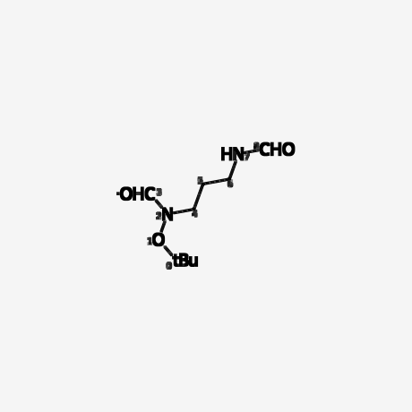 CC(C)(C)ON([C]=O)CCCNC=O